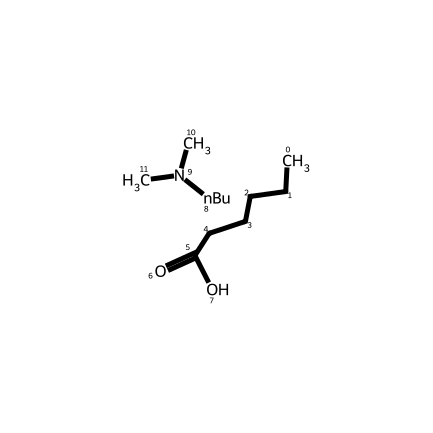 CCCCCC(=O)O.CCCCN(C)C